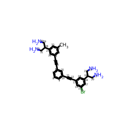 Cc1cc(C#Cc2cccc(C#Cc3cc(Br)cc(C(CN)CN)c3)c2)cc(C(CN)CN)c1